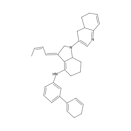 C/C=C\C=C1/CN(C2=CN=C3C=CCCC3C2)C2CCCC(Nc3cccc(C4=CCCC=C4)c3)=C12